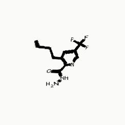 CCCCc1cc(C(F)(F)F)cnc1C(=O)NN